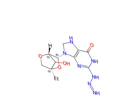 CC[C@]12CO[C@@H](C1O)[C@H](N1CNc3c1nc(NN=N)[nH]c3=O)O2